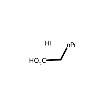 CCCCC(=O)O.I